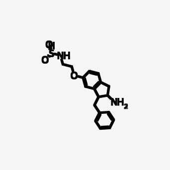 NC1Cc2ccc(OCCN[SH](=O)=O)cc2C1Cc1ccccc1